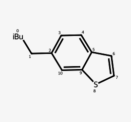 CCC(C)Cc1ccc2ccsc2c1